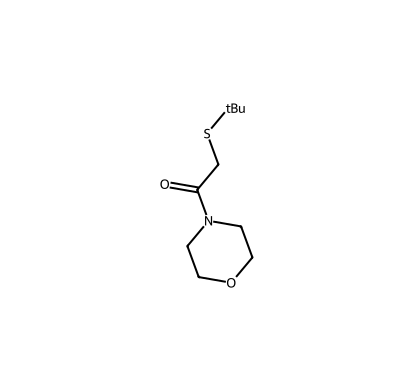 CC(C)(C)SCC(=O)N1CCOCC1